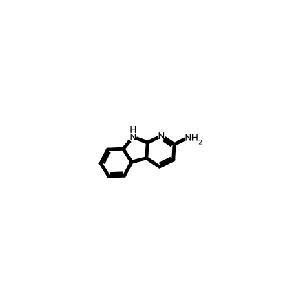 NC1=NC2NC3C=CC=CC3C2C=C1